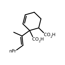 CCCC=C(C)C1(C(=O)O)C=CCCC1C(=O)O